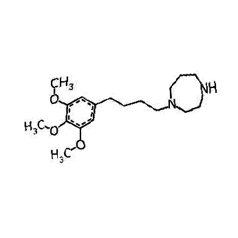 COc1cc(CCCCN2CCCNCC2)cc(OC)c1OC